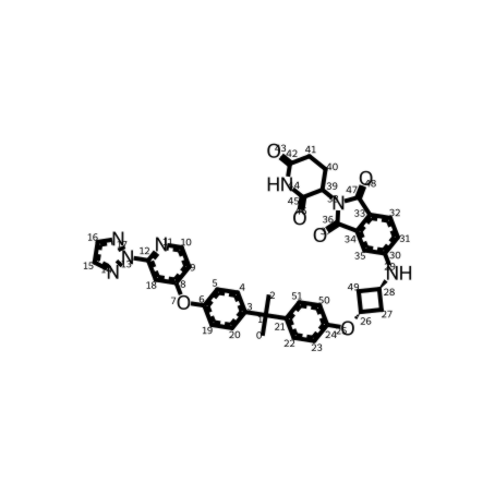 CC(C)(c1ccc(Oc2ccnc(-n3nccn3)c2)cc1)c1ccc(O[C@H]2C[C@H](Nc3ccc4c(c3)C(=O)N(C3CCC(=O)NC3=O)C4=O)C2)cc1